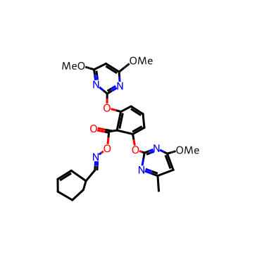 COc1cc(C)nc(Oc2cccc(Oc3nc(OC)cc(OC)n3)c2C(=O)ON=CC2C=CCCC2)n1